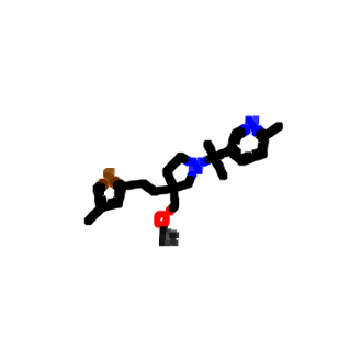 CCOCC1(CCc2cc(C)cs2)CCN(C(C)(C)c2ccc(C)nc2)C1